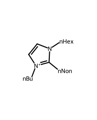 CCCCCCCCCc1n(CCCCCC)cc[n+]1CCCC